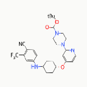 CC(C)(C)OC(=O)N1CCN(c2cc(O[C@H]3CC[C@H](Nc4ccc(C#N)c(C(F)(F)F)c4)CC3)ccn2)CC1